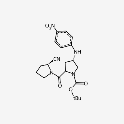 CC(C)(C)OC(=O)N1C[C@@H](Nc2ccc([N+](=O)[O-])cc2)CC1C(=O)N1CCC[C@H]1C#N